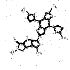 Cc1ccc(-c2c3cc(-c4sc(C)c5c6c(sc45)C(=O)N(C)C6)sc3c(-c3ccc(C)s3)c3cc(C)sc23)s1